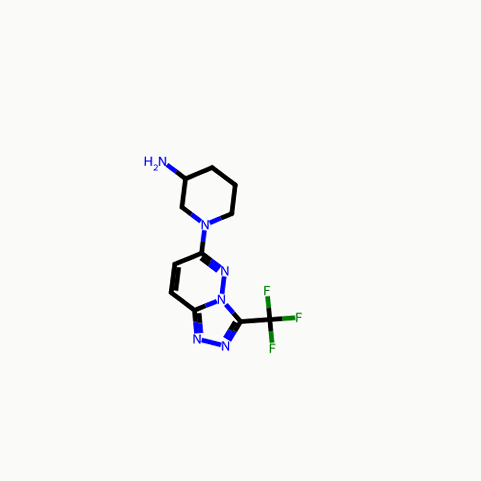 NC1CCCN(c2ccc3nnc(C(F)(F)F)n3n2)C1